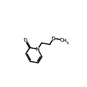 COCCn1ccccc1=O